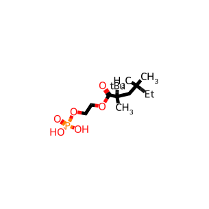 CCC(C)(C)CC(C)(C(=O)OCCOP(=O)(O)O)C(C)(C)C